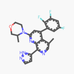 Cc1cnc(-c2ccn[nH]2)c2nc(N3CCOCC3C)cc(-c3cc(F)cc(F)c3F)c12